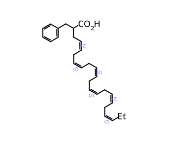 CC/C=C\C/C=C\C/C=C\C/C=C\C/C=C\C/C=C\CC(Cc1ccccc1)C(=O)O